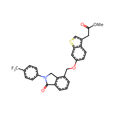 COC(=O)Cc1csc2cc(OCc3cccc4c3CN(c3ccc(C(F)(F)F)cc3)C4=O)ccc12